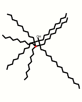 CCCCCCCCCCCCCCCC(CCCCCCCCCC)(CCCCCCCCCC)C(O)(CCCCCCCCCC)C(CCCCCCCCCC)(CCCCCCCCCC)CCCCCCCCCC